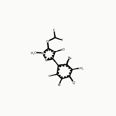 Cc1c(Cl)c(Br)c(Cl)c(-c2nn(C)c(OC(F)F)c2Cl)c1Br